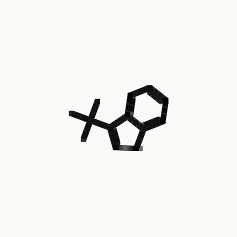 CC(C)(C)C1=C[CH]c2ccccc21